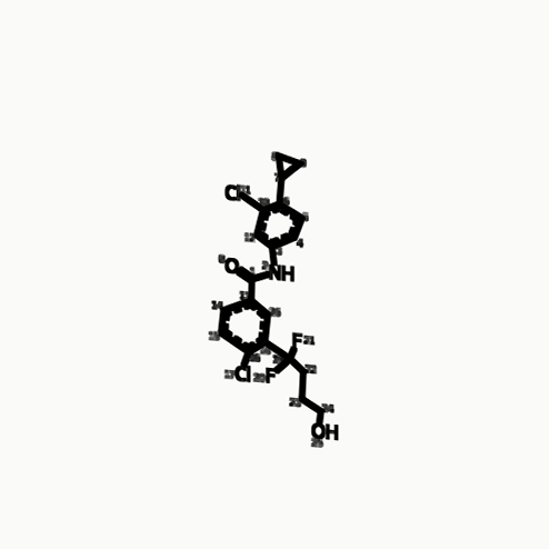 O=C(Nc1ccc(C2CC2)c(Cl)c1)c1ccc(Cl)c(C(F)(F)CCCO)c1